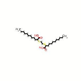 CCCCCCCCCCC(SCCSC(CCCCCCCCCC)C(=O)O)C(=O)O